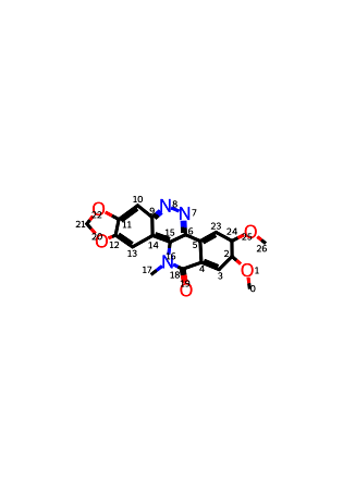 COC1C=c2c(c3nnc4cc5c(cc4c3n(C)c2=O)OCO5)=CC1OC